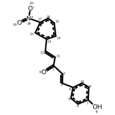 O=C(C=Cc1ccc(O)cc1)C=Cc1cccc([N+](=O)[O-])c1